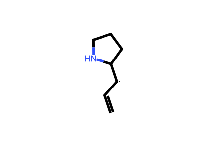 C=C[CH]C1CCCN1